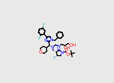 CC(C)(C)OC(=O)N1C[C@@H](CN(CNCC(O)CO)[C@@H](c2nc(-c3cc(F)ccc3F)cn2Cc2ccccc2)C2CCOCC2)[C@@H](F)C1